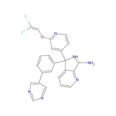 NC1NC(c2cccc(-c3cncnc3)c2)(c2ccnc(OC=C(F)F)c2)c2cccnc21